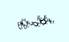 CCOc1ccc(-c2ccc(COC3CCC(CC)OC3)cc2)c(F)c1F